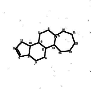 C1=CC2CCC3C(CCN4CCCCCC34)C2C1